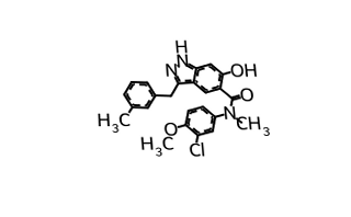 COc1ccc(N(C)C(=O)c2cc3c(Cc4cccc(C)c4)n[nH]c3cc2O)cc1Cl